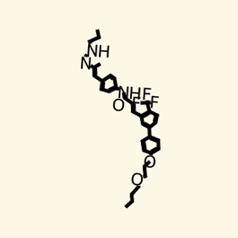 CCCCOCCOc1ccc(-c2ccc(C(F)(F)F)c(/C=C/C(=O)Nc3ccc(/C=C(C)/N=C\NCCC)cc3)c2)cc1